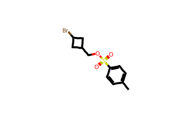 Cc1ccc(S(=O)(=O)OCC2CC(Br)C2)cc1